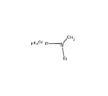 [CH2]N(CC)CC.[GeH4]